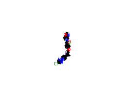 Cc1nc2c(o1)CCN(C(=O)Cc1ccc(OCC[C@@]3(I)C(C4CCN(c5ncc(Cl)cn5)CC4)[C@@H]3C)cc1F)C2